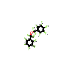 Fc1c(F)c(F)c(C(F)(F)OC(F)(F)c2c(F)c(F)c(F)c(F)c2F)c(F)c1F